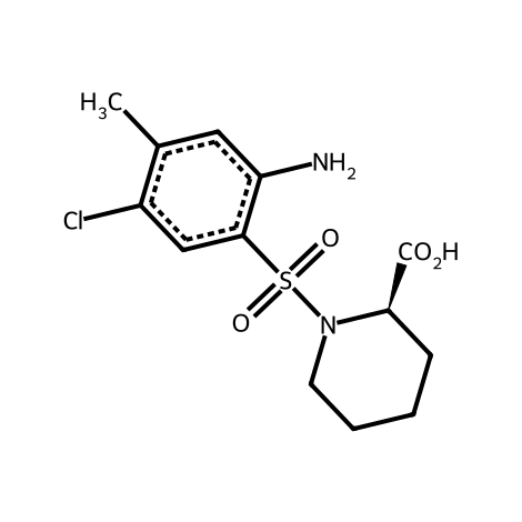 Cc1cc(N)c(S(=O)(=O)N2CCCC[C@@H]2C(=O)O)cc1Cl